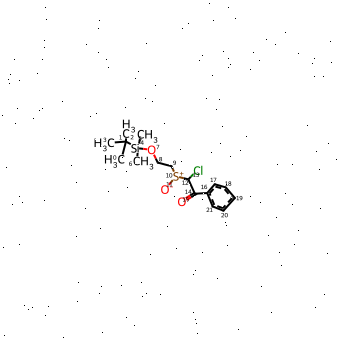 CC(C)(C)[Si](C)(C)OCC[S+]([O-])C(Cl)C(=O)c1ccccc1